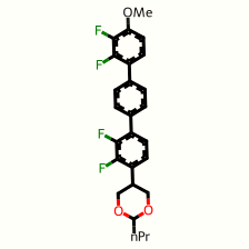 CCCC1OCC(c2ccc(-c3ccc(-c4ccc(OC)c(F)c4F)cc3)c(F)c2F)CO1